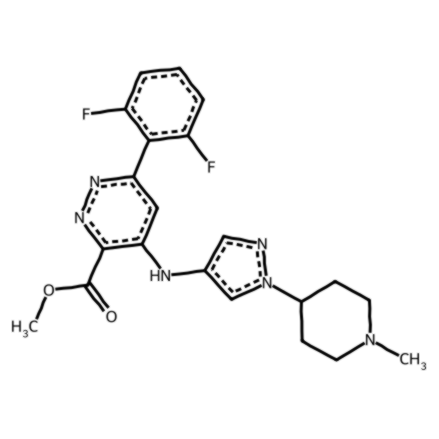 COC(=O)c1nnc(-c2c(F)cccc2F)cc1Nc1cnn(C2CCN(C)CC2)c1